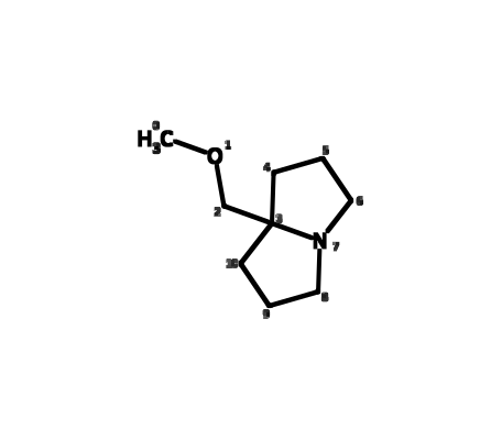 COCC12CCCN1CCC2